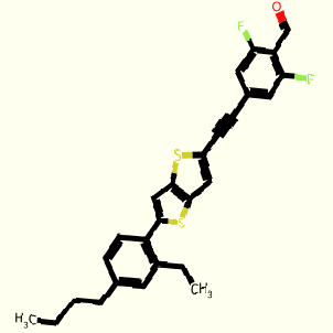 CCCCc1ccc(-c2cc3sc(C#Cc4cc(F)c(C=O)c(F)c4)cc3s2)c(CC)c1